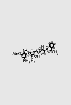 COc1nc(N)nc2c1ncn2[C@@H]1OC(COP2(=O)N[C@H](C(=O)O[C@@H](C)c3ccccc3)CS2)[C@@H](O)[C@@]1(C)O